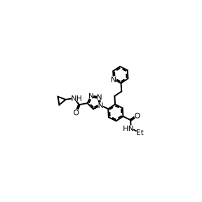 CCNC(=O)c1ccc(-n2cc(C(=O)NC3CC3)nn2)c(CCc2ccccn2)c1